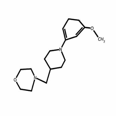 COC1=CC(N2CCC(CN3CCOCC3)CC2)=CC[CH]1